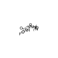 CCc1noc(C)c1CNC(=O)N1CCC2(CC1)CC(=O)c1cc(F)ccc1N2